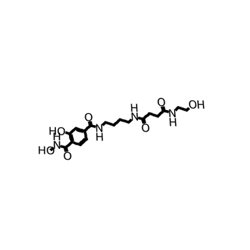 O=C(CCC(=O)NCCCCNC(=O)c1ccc(C(=O)NO)c(O)c1)NCCO